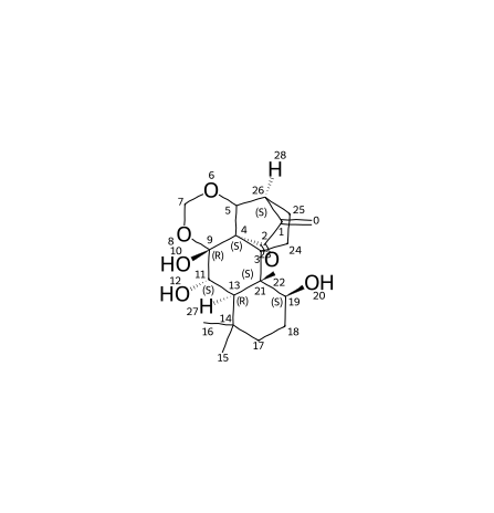 C=C1C(=O)[C@@]23C4OCO[C@@]2(O)[C@@H](O)[C@@H]2C(C)(C)CC[C@H](O)[C@@]2(C)C3CC[C@@H]14